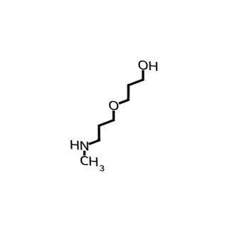 CNCCCOCCCO